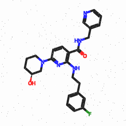 O=C(NCc1cccnc1)c1ccc(N2CCC[C@@H](O)C2)nc1NCCc1cccc(F)c1